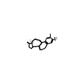 C=C1CCC2C3CCc4cc(F)c(C)cc4C3CC[C@]12C